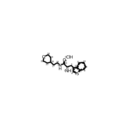 Cl.N[C@@H](Cc1csc2ccccc12)C(=O)NCCC1CCOCC1